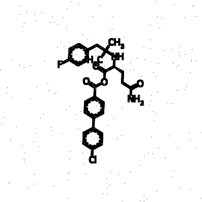 CC(C)(Cc1ccc(F)cc1)N[C@@H](CCC(N)=O)C(=O)OC(=O)c1ccc(-c2ccc(Cl)cc2)cc1